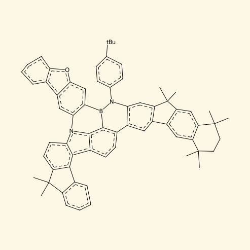 CC(C)(C)c1ccc(N2B3c4cc5oc6ccccc6c5cc4-n4c5ccc6c(c5c5ccc(c3c54)-c3cc4c(cc32)C(C)(C)c2cc3c(cc2-4)C(C)(C)CCC3(C)C)-c2ccccc2C6(C)C)cc1